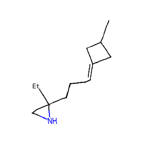 CCC1(CCC=C2CC(C)C2)CN1